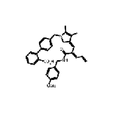 C=C/C=C(\C=C1/CN(Cc2ccc(-c3ccccc3C(=O)O)cc2)C(C)=C1C)C(=O)NCc1ccc(OC)cc1